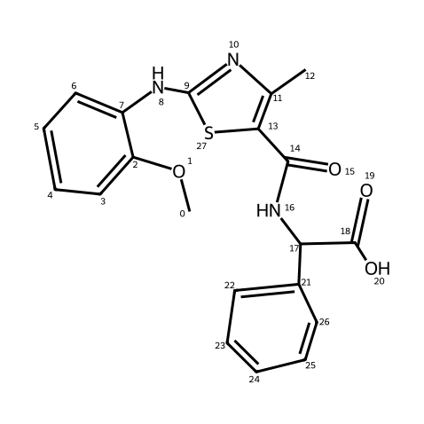 COc1ccccc1Nc1nc(C)c(C(=O)NC(C(=O)O)c2ccccc2)s1